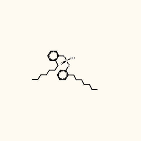 CCCCCCCc1ccccc1OP(=O)(O)Oc1ccccc1CCCCCCC